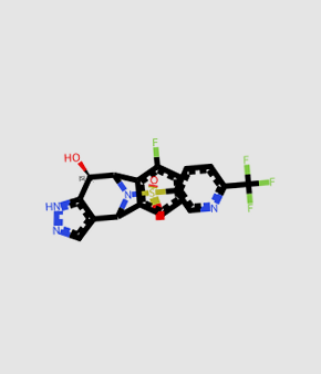 O=S(=O)(c1ccc(C(F)(F)F)nc1)N1C2c3cn[nH]c3[C@@H](O)C1c1c(F)cccc12